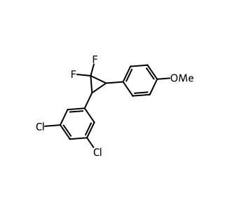 COc1ccc(C2C(c3cc(Cl)cc(Cl)c3)C2(F)F)cc1